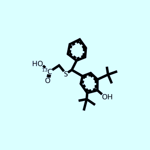 CC(C)(C)c1cc(C(SC[13C](=O)O)c2ccccc2)cc(C(C)(C)C)c1O